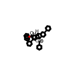 O=C(O[C@@H]1[C@H]2c3ccc(-c4ccccc4)cc3[C@@H](c3cc(-c4ccccc4)c(-c4ccccc4)cc32)[C@@H]1OC(=O)c1ccccc1)c1ccccc1